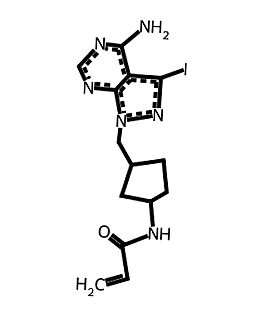 C=CC(=O)NC1CCC(Cn2nc(I)c3c(N)ncnc32)C1